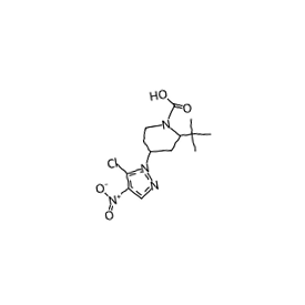 CC(C)(C)C1CC(n2ncc([N+](=O)[O-])c2Cl)CCN1C(=O)O